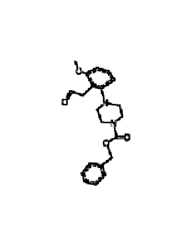 COc1cccc(N2CCN(C(=O)OCc3ccccc3)CC2)c1CC=O